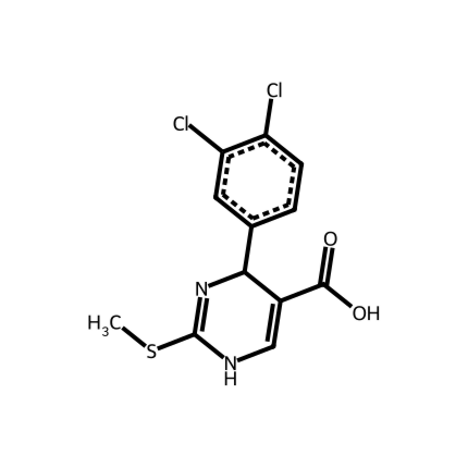 CSC1=NC(c2ccc(Cl)c(Cl)c2)C(C(=O)O)=CN1